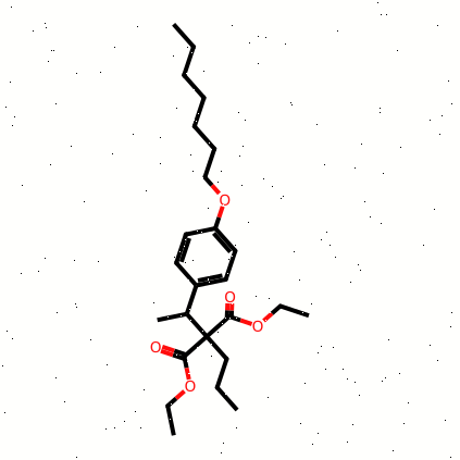 CCCCCCCOc1ccc(C(C)C(CCC)(C(=O)OCC)C(=O)OCC)cc1